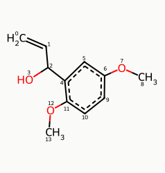 C=CC(O)c1cc(OC)ccc1OC